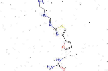 NCCNC=Nc1nc(-c2ccc(CNC(N)=O)o2)cs1